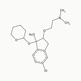 CCc1ccc2c(c1)CC(OCCN(C)C)C2(OC(C)=O)OC1CCCCO1